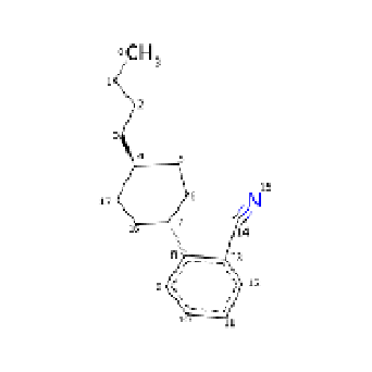 CCCC[C@H]1CC[C@H](c2ccccc2C#N)CC1